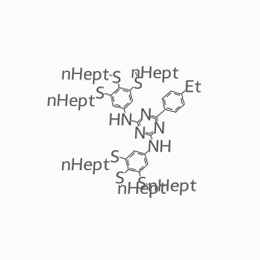 CCCCCCCSc1cc(Nc2nc(Nc3cc(SCCCCCCC)c(SCCCCCCC)c(SCCCCCCC)c3)nc(-c3ccc(CC)cc3)n2)cc(SCCCCCCC)c1SCCCCCCC